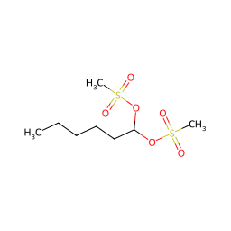 CCCCCC(OS(C)(=O)=O)OS(C)(=O)=O